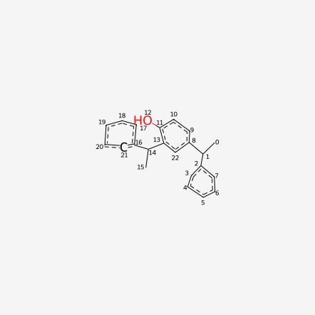 CC(c1ccccc1)c1ccc(O)c(C(C)c2ccccc2)c1